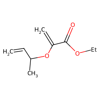 C=CC(C)OC(=C)C(=O)OCC